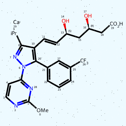 COc1nccc(-n2nc(C(C)C)c(C=C[C@@H](O)C[C@@H](O)CC(=O)O)c2-c2cccc(C(F)(F)F)c2)n1.[Ca]